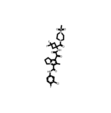 Cc1c(C(=O)C(=O)NC2(C(=O)N3CCN(S(C)(=O)=O)CC3)CC(F)(F)C2)c2n(c1C(=O)Nc1ccc(F)c(Cl)c1)CCC2